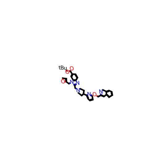 CC(C)(C)OC(=O)c1ccc2nc(CN3CCC(c4cccc(OCc5cc6ccccc6cn5)n4)CC3)n(CC3=CCO3)c2c1